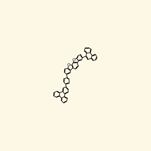 c1ccc2c(c1)cc(-c1ccc3oc4c(ccc5c6cc(-c7ccc(-c8ccc9c%10ccccc%10c%10ccccc%10c9c8)cc7)ccc6oc54)c3c1)c1ccccc12